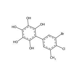 Cc1cc(-c2c(O)c(O)c(O)c(O)c2O)cc(Br)c1Cl